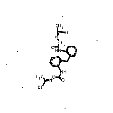 CC/C(C)=N\OC(=O)Nc1ccccc1Cc1ccccc1NC(=O)O/N=C(\C)CC